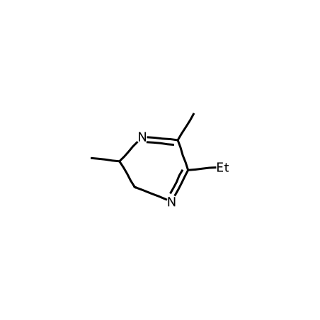 CCC1=NCC(C)N=C1C